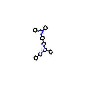 c1ccc(-c2ccc(-c3cc(-c4ccccc4)cc(-c4ccc(-c5ccc(-c6nc(-c7ccccc7)cc(-c7ccccc7)n6)cc5)cn4)n3)nc2)cc1